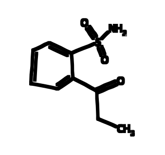 CCC(=O)c1ccccc1S(N)(=O)=O